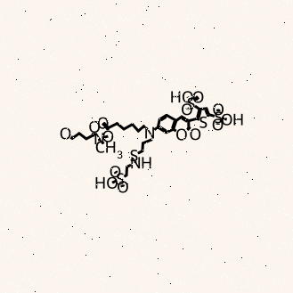 CN(OC(=O)CCCCCN(CCCSNCCS(=O)(=O)O)c1ccc2cc(-c3sc(S(=O)(=O)O)cc3S(=O)(=O)O)c(=O)oc2c1)C(=O)CCC=O